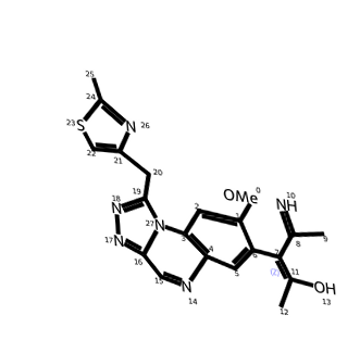 COc1cc2c(cc1/C(C(C)=N)=C(\C)O)ncc1nnc(Cc3csc(C)n3)n12